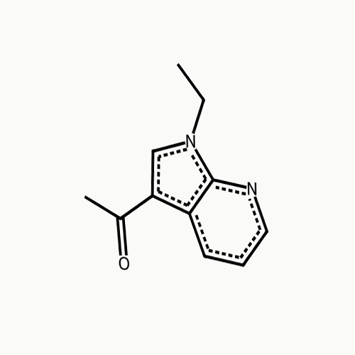 CCn1cc(C(C)=O)c2cccnc21